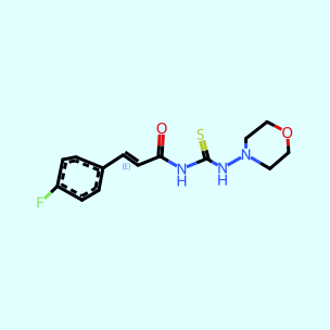 O=C(/C=C/c1ccc(F)cc1)NC(=S)NN1CCOCC1